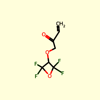 C=CC(=O)COC1C(F)(F)OC1(F)F